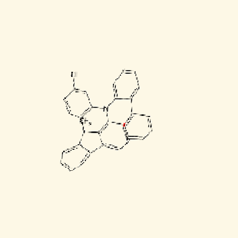 CC12c3ccccc3-c3cccc(c31)N(c1ccccc1-c1ccccc1)c1cc(Cl)ccc12